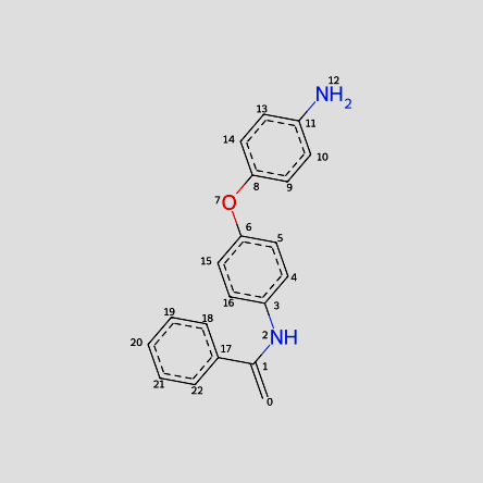 C=C(Nc1ccc(Oc2ccc(N)cc2)cc1)c1ccccc1